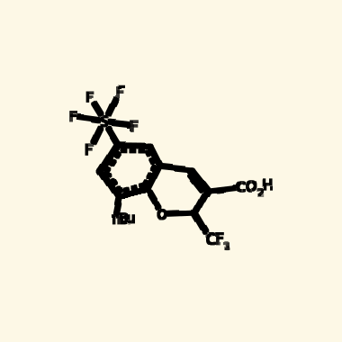 CCCCc1cc(S(F)(F)(F)(F)F)cc2c1OC(C(F)(F)F)C(C(=O)O)=C2